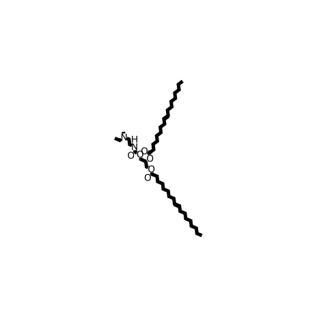 CCCCCCCCC=CCCCCCCCC(=O)OCC(COC(=O)NCCN(C)CC)OC(=O)CCCCCCCC=CCCCCCCCC